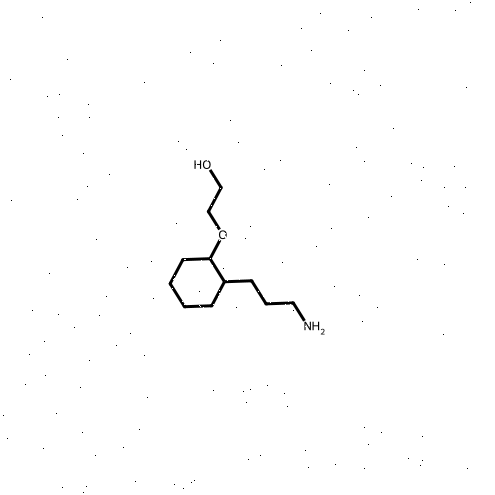 NCCCC1CCCCC1OCCO